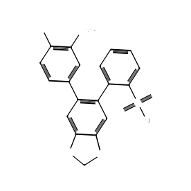 COc1cc(-c2cc3c(cc2-c2ccccc2S(N)(=O)=O)OCO3)ccc1C(F)(F)F